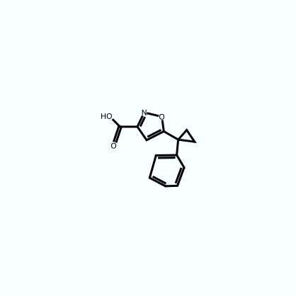 O=C(O)c1cc(C2(c3ccccc3)CC2)on1